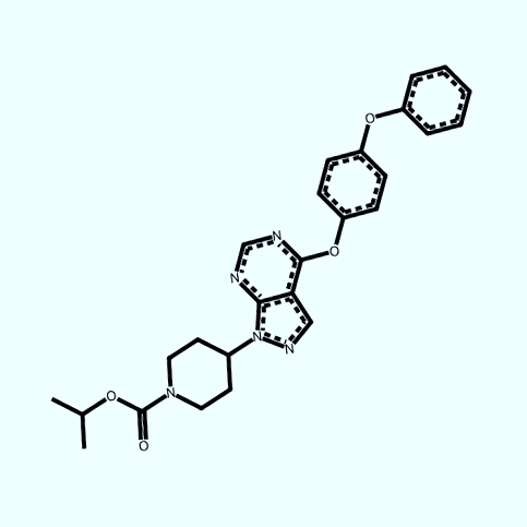 CC(C)OC(=O)N1CCC(n2ncc3c(Oc4ccc(Oc5ccccc5)cc4)ncnc32)CC1